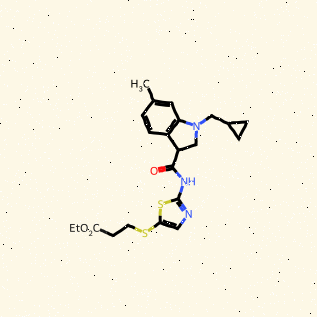 CCOC(=O)CCSc1cnc(NC(=O)C2CN(CC3CC3)c3cc(C)ccc32)s1